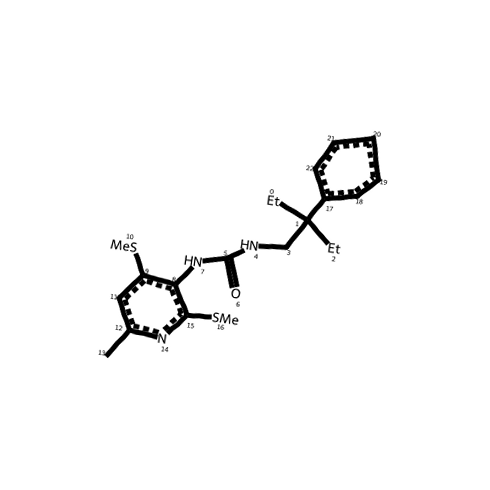 CCC(CC)(CNC(=O)Nc1c(SC)cc(C)nc1SC)c1ccccc1